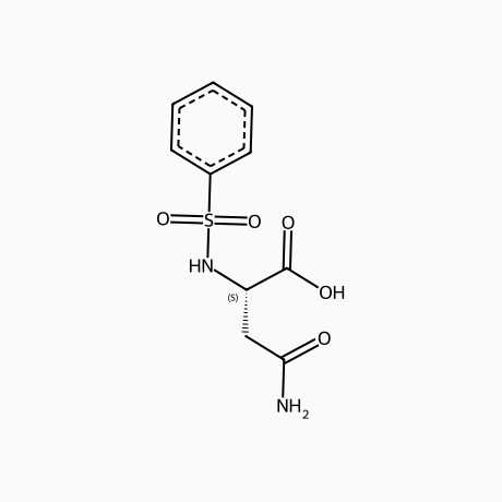 NC(=O)C[C@H](NS(=O)(=O)c1ccccc1)C(=O)O